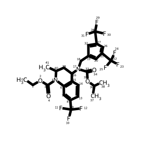 CCOC(=O)N1c2cc(C(F)(F)F)ccc2C(N(Cc2cc(C(F)(F)F)cc(C(F)(F)F)c2)C(=O)OC(C)C)CC1C